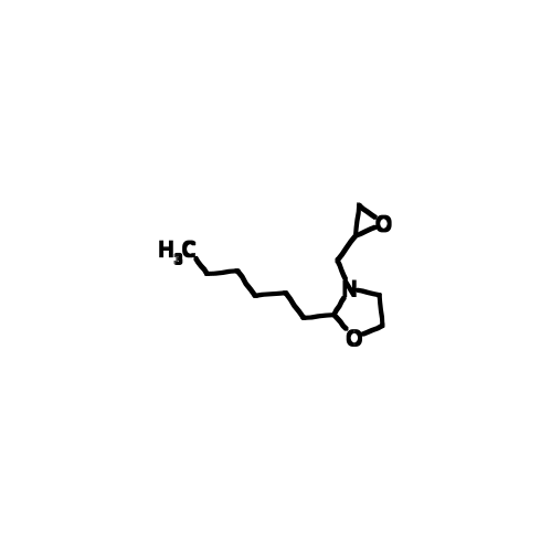 CCCCCCC1OCCN1CC1CO1